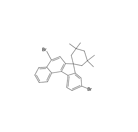 CC1(C)CC(C)(C)CC2(C1)c1cc(Br)ccc1-c1c2cc(Br)c2ccccc12